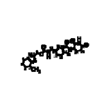 CC1CCCc2nc(COC(=O)NCc3ccc4c(c3)C(=O)N(C3CCC(=O)NC3=O)C4)sc21